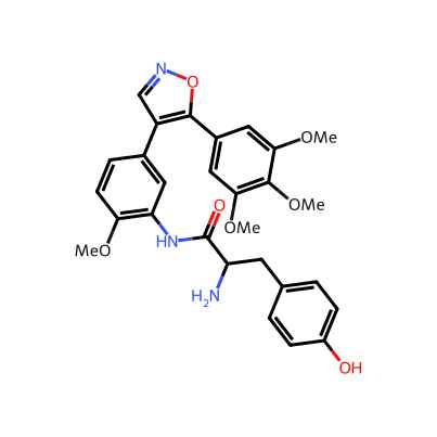 COc1ccc(-c2cnoc2-c2cc(OC)c(OC)c(OC)c2)cc1NC(=O)C(N)Cc1ccc(O)cc1